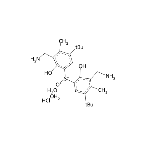 Cc1c(C(C)(C)C)cc([S+]([O-])c2cc(C(C)(C)C)c(C)c(CN)c2O)c(O)c1CN.Cl.O.O